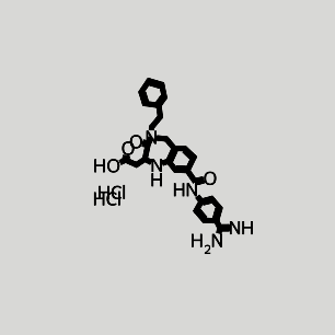 Cl.Cl.N=C(N)c1ccc(NC(=O)c2ccc3c(c2)NC(CC(=O)O)C(=O)N(CCc2ccccc2)C3)cc1